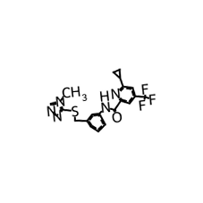 Cn1cnnc1SCc1cccc(NC(=O)c2cc(C(F)(F)F)cc(C3CC3)n2)c1